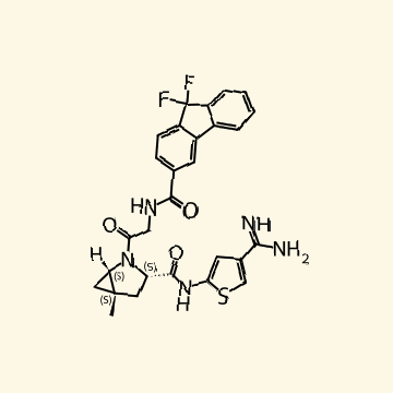 C[C@@]12C[C@@H]1N(C(=O)CNC(=O)c1ccc3c(c1)-c1ccccc1C3(F)F)[C@H](C(=O)Nc1cc(C(=N)N)cs1)C2